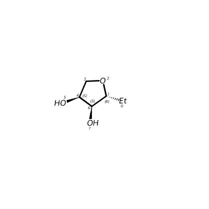 CC[C@H]1OC[C@H](O)[C@@H]1O